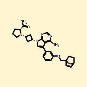 NC(=O)[C@@H]1CCCN1[C@H]1C[C@@H](n2cc(-c3cccc(OCC45CCC(CC4)O5)c3)c3c(N)ncnc32)C1